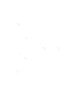 O=c1c2c3c(=O)n(-c4ccncc4)c(=O)c3c3c(=O)n(-c4ccncc4)c(=O)c3c2c(=O)n1-c1ccncc1